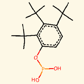 CC(C)(C)c1ccc(OP(O)O)c(C(C)(C)C)c1C(C)(C)C